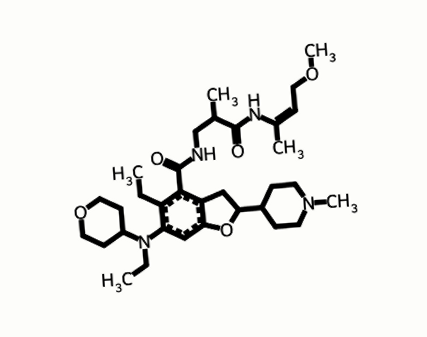 CCc1c(N(CC)C2CCOCC2)cc2c(c1C(=O)NCC(C)C(=O)N/C(C)=C\COC)CC(C1CCN(C)CC1)O2